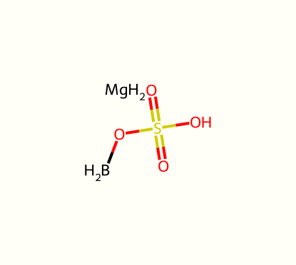 BOS(=O)(=O)O.[MgH2]